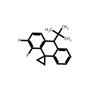 CC(C)(C)C1c2ccccc2C2(CC2)c2c1ccc(F)c2F